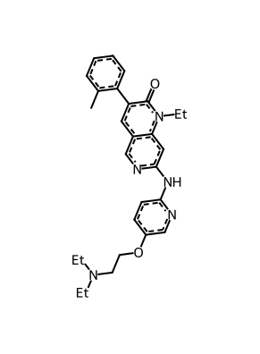 CCN(CC)CCOc1ccc(Nc2cc3c(cn2)cc(-c2ccccc2C)c(=O)n3CC)nc1